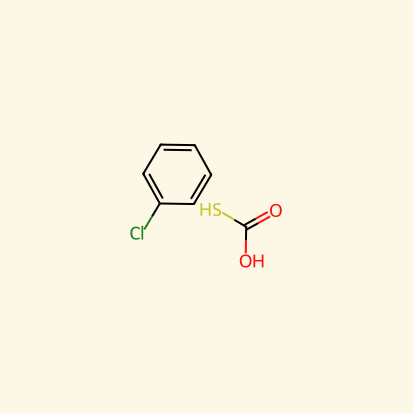 Clc1ccccc1.O=C(O)S